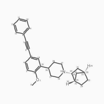 COc1ccc(C#Cc2ccccc2)cc1C1CCN([C@@H]2C[C@H]3CC[C@H]2C3)CC1